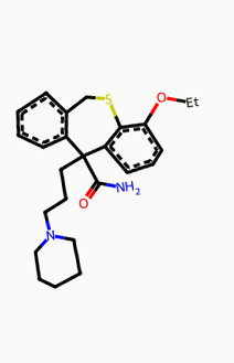 CCOc1cccc2c1SCc1ccccc1C2(CCCN1CCCCC1)C(N)=O